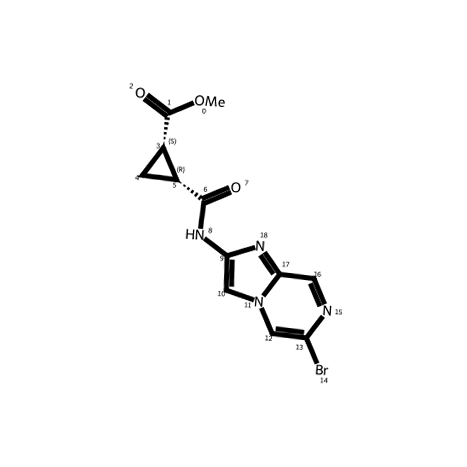 COC(=O)[C@H]1C[C@H]1C(=O)Nc1cn2cc(Br)ncc2n1